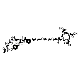 CCC(=O)NCCNC(=O)/N=C(/N)NCCC[C@@H](NC(=O)C(C)c1cccc(OCCOCCOCCOCCOCCNC(=O)CN2CCN(CC(=O)O)CCN(CC(=O)O)CCN(CC(=O)O)CC2)c1)C(=O)NCc1ccc(O)cc1